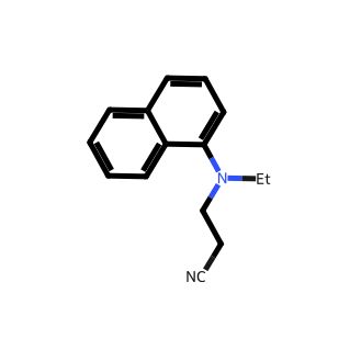 CCN(CCC#N)c1cccc2ccccc12